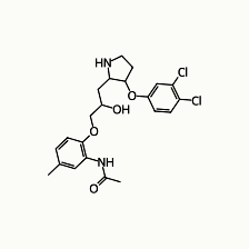 CC(=O)Nc1cc(C)ccc1OCC(O)CC1NCCC1Oc1ccc(Cl)c(Cl)c1